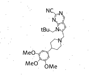 COc1cc(C2CCN(Cc3cc4cnc(C#N)nc4n3CC(C)(C)C)CC2)cc(OC)c1OC